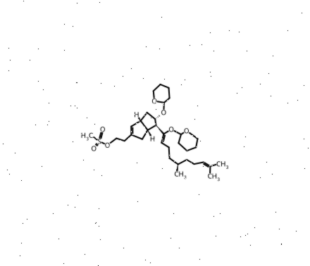 CC(C)=CCC[C@@H](C)CCC=C(OC1CCCCO1)[C@H]1[C@@H]2CC(CCOS(C)(=O)=O)=C[C@@H]2C[C@@H]1OC1CCCCO1